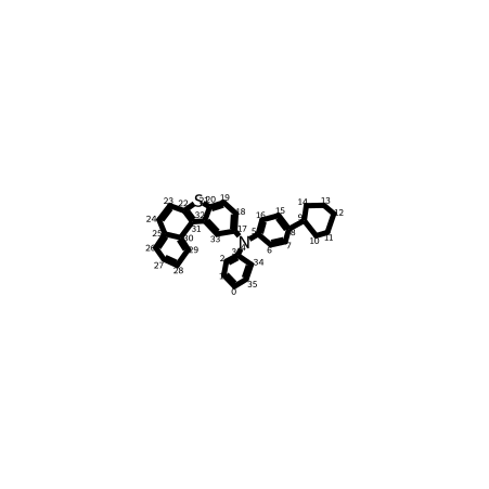 c1ccc(N(c2ccc(C3CCCCC3)cc2)c2ccc3sc4ccc5ccccc5c4c3c2)cc1